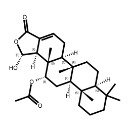 CC(=O)O[C@H]1C[C@@H]2[C@@]3(C)CCCC(C)(C)[C@@H]3CC[C@@]2(C)[C@@H]2CC=C3C(=O)O[C@@H](O)[C@@H]3[C@@]12C